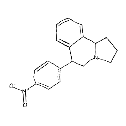 O=[N+]([O-])c1ccc(C2CN3CCCC3c3ccccc32)cc1